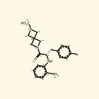 Cc1ccc(C[C@H](Nc2ccccc2N)C(=O)N2CC3(CN(C(=O)O)C3)C2)cc1